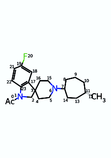 CC(=O)N1CC2(CCN(C3CCC[C@H](C)CC3)CC2)c2cc(F)ccc21